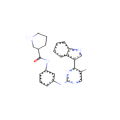 O=C(Nc1cccc(Nc2ncc(Cl)c(-c3c[nH]c4ccccc34)n2)c1)C1CCCNC1